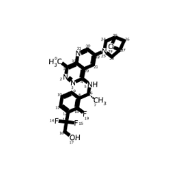 Cc1nnc(N[C@H](C)c2cccc(C(F)(F)CO)c2F)c2cc(N3CC4CC(C3)O4)cnc12